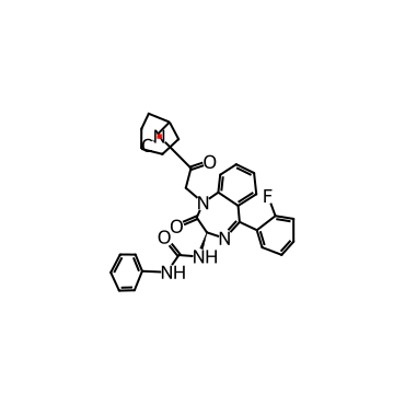 O=C(Nc1ccccc1)N[C@@H]1N=C(c2ccccc2F)c2ccccc2N(CC(=O)N2CC3CCC(CC3)C2)C1=O